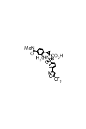 CNC(=O)c1ccc([C@@H]2C[C@]2(NS(=O)(=O)c2ccc(-c3cc(C(F)(F)F)on3)s2)C(=O)O)c(C)c1